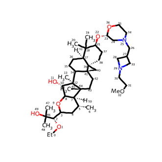 CCO[C@@H](C1C[C@@H](C)[C@H]2C(O1)[C@H](O)[C@@]1(C)C3CC[C@H]4C(C)(C)[C@@H](O[C@H]5CN(CC6CN(CCOC)C6)CCO5)CC[C@@]45C[C@@]35CC[C@]21C)C(C)(C)O